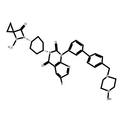 CCCN1CCN(Cc2ccc(-c3cccc(-n4c(=O)n([C@H]5CC[C@@H](N6C(=O)C7(CC7)N6C)CC5)c(=O)c5cc(F)cnc54)c3)cc2)CC1